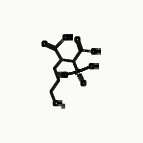 CCCCC(C(=O)O)C(C(=O)O)P(=O)(O)O